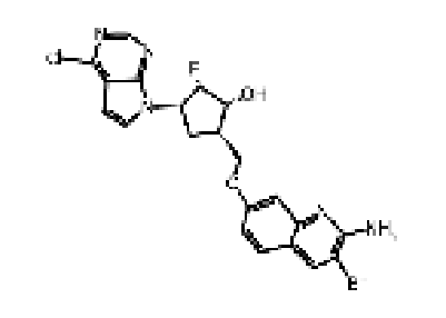 Nc1nc2cc(OC[C@H]3C[C@@H](n4ccc5c(Cl)ncnc54)[C@H](F)[C@@H]3O)ccc2cc1Br